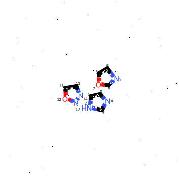 c1c[nH]cn1.c1cocn1.c1conn1